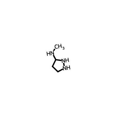 CNC1CCNN1